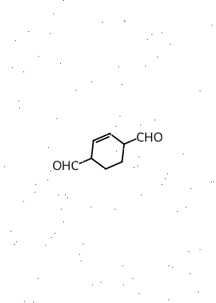 O=CC1C=CC(C=O)CC1